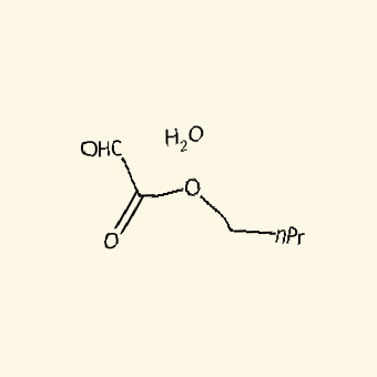 CCCCOC(=O)C=O.O